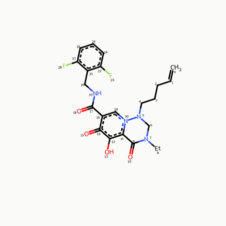 C=CCCCN1CN(CC)C(=O)c2c(O)c(=O)c(C(=O)NCc3c(F)cccc3F)cn21